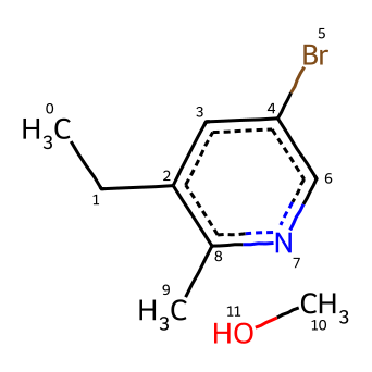 CCc1cc(Br)cnc1C.CO